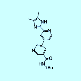 Cc1nc(-c2cc(-c3cncc(C(=O)NC(C)(C)C)c3)ccn2)[nH]c1C